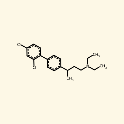 CCN(CC)CCC(C)c1ccc(-c2ccc(Cl)cc2Cl)cc1